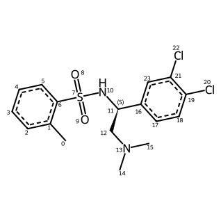 Cc1ccccc1S(=O)(=O)N[C@H](CN(C)C)c1ccc(Cl)c(Cl)c1